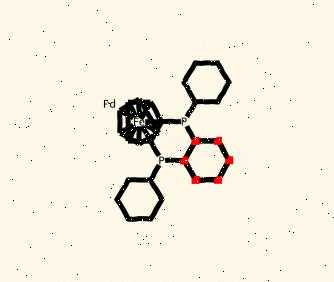 C1CCC(P(C2CCCCC2)[C]23[CH]4[CH]5[CH]6[C]2(P(C2CCCCC2)C2CCCCC2)[Fe]54632789[CH]3[CH]2[CH]7[CH]8[CH]39)CC1.[Pd]